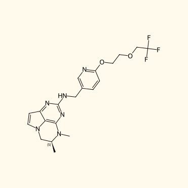 C[C@H]1Cn2ccc3nc(NCc4ccc(OCCOCC(F)(F)F)nc4)nc(c32)N1C